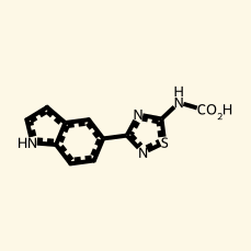 O=C(O)Nc1nc(-c2ccc3[nH]ccc3c2)ns1